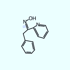 O/N=C(/Cc1ccccc1)c1ccccn1